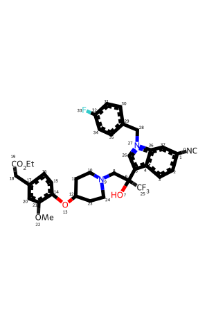 [C-]#[N+]c1ccc2c(C(O)(CN3CCC(Oc4ccc(CC(=O)OCC)cc4OC)CC3)C(F)(F)F)cn(Cc3ccc(F)cc3)c2c1